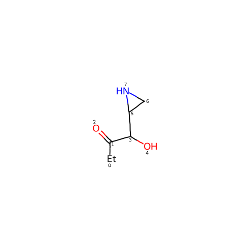 CCC(=O)C(O)C1CN1